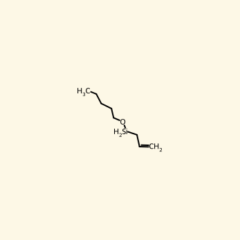 C=CC[SiH2]OCCCCC